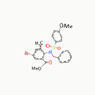 COC(=O)c1cc(Br)cc(C)c1N(Cc1ccccc1)S(=O)(=O)c1ccc(OC)cc1